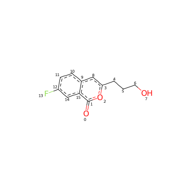 O=c1oc(CCCO)cc2ccc(F)cc12